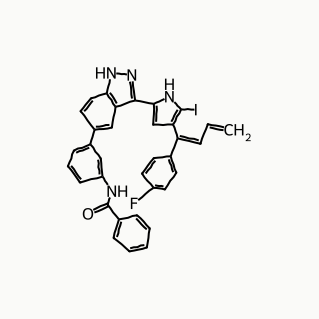 C=C/C=C(/c1ccc(F)cc1)c1cc(-c2n[nH]c3ccc(-c4cccc(NC(=O)c5ccccc5)c4)cc23)[nH]c1I